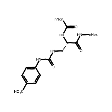 CCCCCCCCCC(=O)N[C@@H](CNC(=O)Nc1ccc(C(=O)O)cc1)C(=O)NCCCCCC